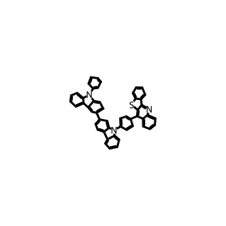 c1ccc(-n2c3ccccc3c3cc(-c4ccc5c6ccccc6n(-c6ccc(-c7c8ccccc8nc8c7sc7ccccc78)cc6)c5c4)ccc32)cc1